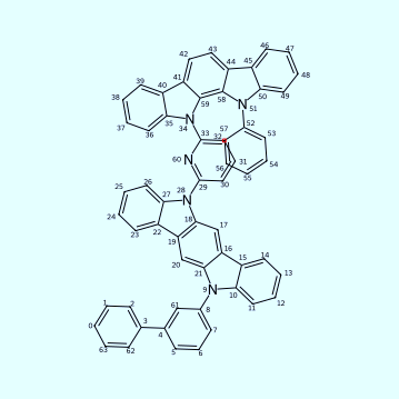 c1ccc(-c2cccc(-n3c4ccccc4c4cc5c(cc43)c3ccccc3n5-c3cccc(-n4c5ccccc5c5ccc6c7ccccc7n(-c7ccccc7)c6c54)n3)c2)cc1